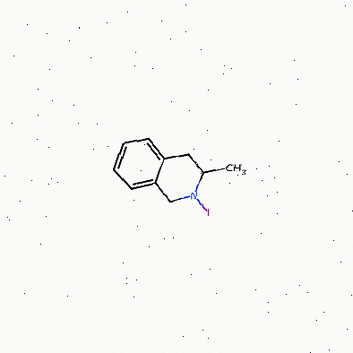 CC1Cc2ccccc2CN1I